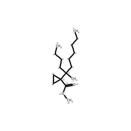 CCCCCCC(C)(CCCC)C1(C(=O)OC)CC1